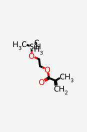 C=C(C)C(=O)OCCO[SiH](C)C